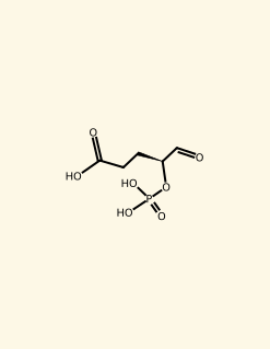 O=C[C@H](CCC(=O)O)OP(=O)(O)O